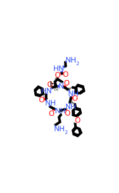 NCCCC[C@@H]1NC(=O)CNC(=O)[C@H](c2ccccc2)NC(=O)[C@@H]2C[C@@H](OC(=O)NCCN)CN2C(=O)[C@H](Cc2ccccc2)NC(=O)[C@H](Cc2ccc(OCc3ccccc3)cc2)NC1=O